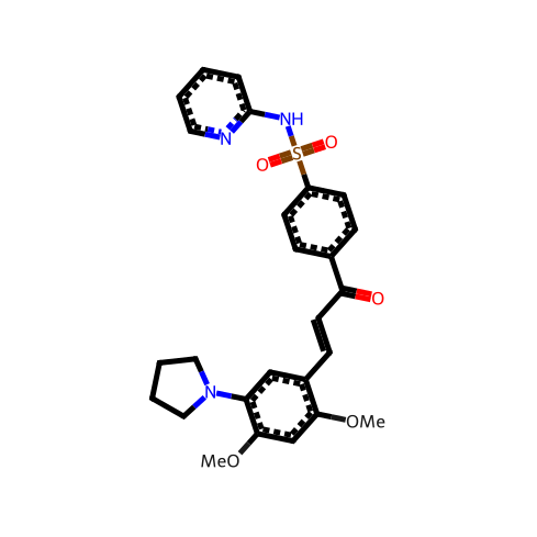 COc1cc(OC)c(N2CCCC2)cc1C=CC(=O)c1ccc(S(=O)(=O)Nc2ccccn2)cc1